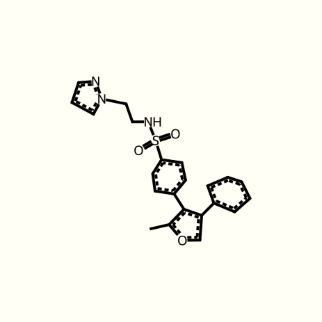 Cc1occ(-c2ccccc2)c1-c1ccc(S(=O)(=O)NCCn2cccn2)cc1